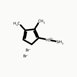 CC1=CC[C]([Hf+2][SiH3])=C1C.[Br-].[Br-]